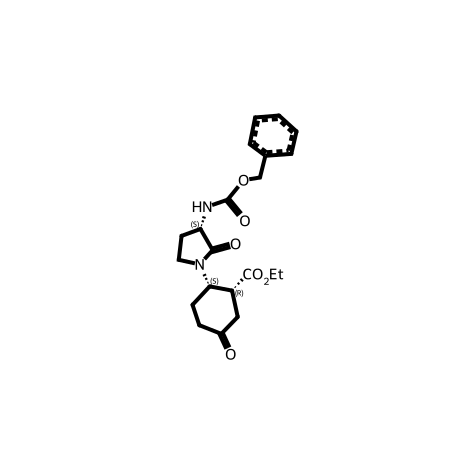 CCOC(=O)[C@@H]1CC(=O)CC[C@@H]1N1CC[C@H](NC(=O)OCc2ccccc2)C1=O